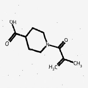 C=C(C)C(=O)N1CCC(C(=O)O)CC1